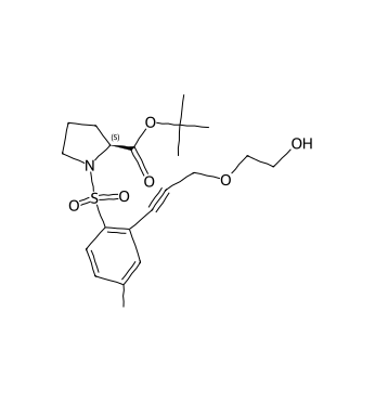 Cc1ccc(S(=O)(=O)N2CCC[C@H]2C(=O)OC(C)(C)C)c(C#CCOCCO)c1